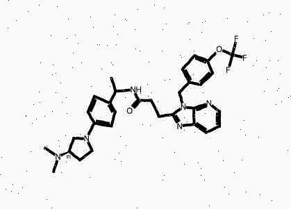 CC(NC(=O)CCc1nc2cccnc2n1Cc1ccc(OC(F)(F)F)cc1)c1ccc(N2CC[C@@H](N(C)C)C2)cc1